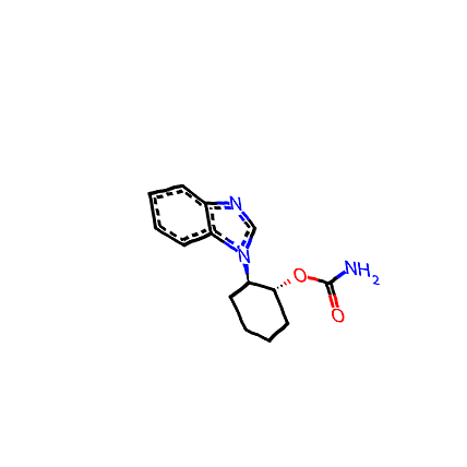 NC(=O)O[C@@H]1CCCC[C@H]1n1cnc2ccccc21